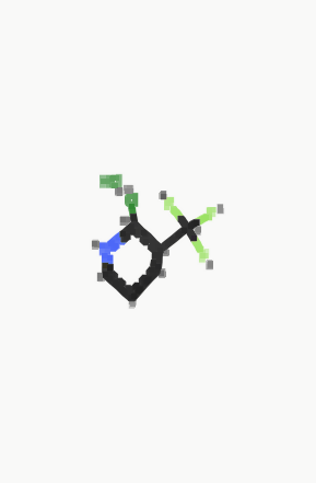 Cl.FC(F)(F)c1cccnc1Cl